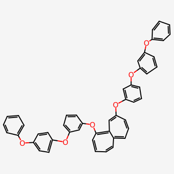 C1=CC(Oc2cccc(Oc3cccc(Oc4ccccc4)c3)c2)=CC2=C(Oc3cccc(Oc4ccc(Oc5ccccc5)cc4)c3)C=CC=CC2=C1